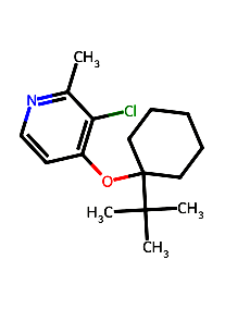 Cc1nccc(OC2(C(C)(C)C)CCCCC2)c1Cl